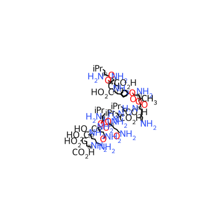 CC(C)C[C@H](N)C(=O)O.CC(C)C[C@H](N)C(=O)O.CC(C)C[C@H](N)C(=O)OC(=O)[C@@H](N)CCC(N)=O.CC(C)C[C@H](N)C(=O)O[C@H](C)[C@H](N)C(=O)O.C[C@@H](OC(=O)[C@@H](N)CCCCN)[C@H](N)C(=O)Oc1ccc(C[C@H](N)C(=O)O)cc1.NC(=O)CC[C@H](N)C(=O)O.NCCCC[C@H](N)C(=O)O.N[C@@H](CCC(=O)O)C(=O)O